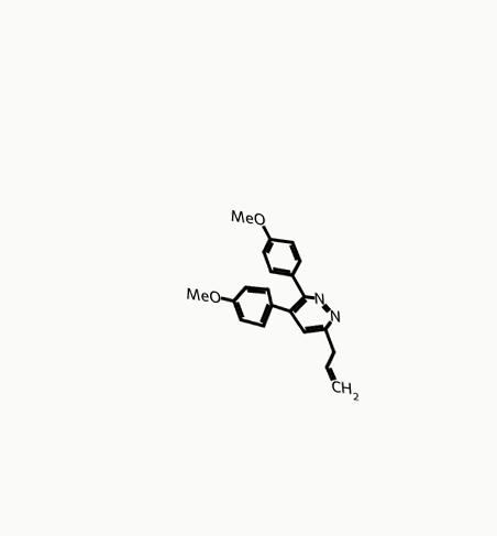 C=CCc1cc(-c2ccc(OC)cc2)c(-c2ccc(OC)cc2)nn1